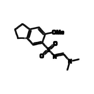 COc1cc2c(cc1S(=O)(=O)N=CN(C)C)CCC2